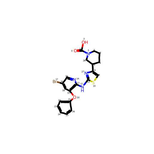 O=C(O)N1CCCC(c2csc(Nc3ncc(Br)cc3Oc3ccccc3)n2)C1